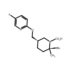 CC(C)(C)[C@@]1(C)CC[C@@H](COc2ccc(F)cn2)CN1C(=O)O